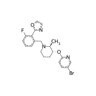 C[C@H]1[C@H](Oc2ccc(Br)cn2)CCCN1Cc1cccc(F)c1-c1ncco1